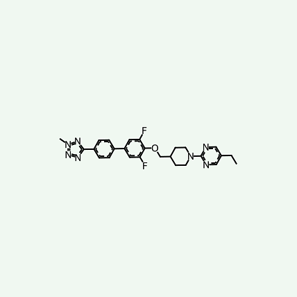 CCc1cnc(N2CCC(COc3c(F)cc(-c4ccc(-c5nnn(C)n5)cc4)cc3F)CC2)nc1